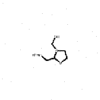 CCCCCCC1OCCN1CO